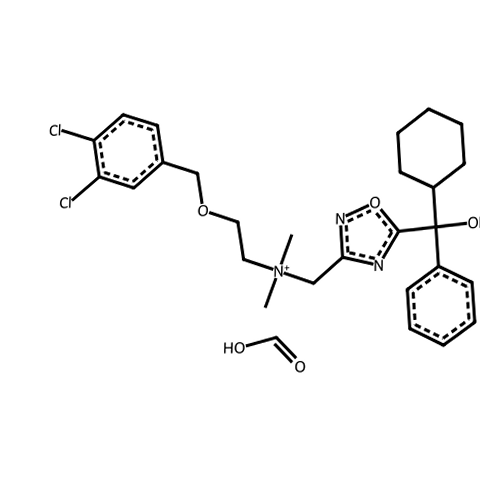 C[N+](C)(CCOCc1ccc(Cl)c(Cl)c1)Cc1noc(C(O)(c2ccccc2)C2CCCCC2)n1.O=CO